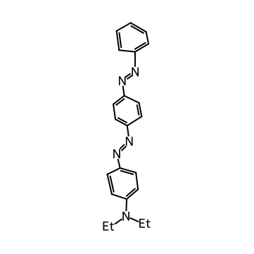 CCN(CC)c1ccc(N=Nc2ccc(N=Nc3ccccc3)cc2)cc1